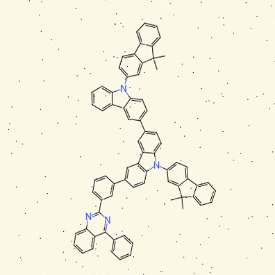 CC1(C)c2ccccc2-c2ccc(-n3c4ccccc4c4cc(-c5ccc6c(c5)c5cc(-c7cccc(-c8nc(-c9ccccc9)c9ccccc9n8)c7)ccc5n6-c5ccc6c(c5)C(C)(C)c5ccccc5-6)ccc43)cc21